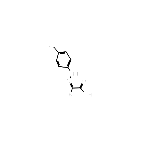 O=C(O)/C(Br)=N\Nc1ccc(Cl)cc1